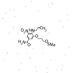 C=CCNc1c(OCCCOSC)cc(C(N)=O)cc1[N+](=O)[O-]